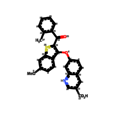 COc1ccc2c(Oc3ccc4cc(C(=O)O)cnc4c3)c(C(=O)c3ccccc3C)sc2c1